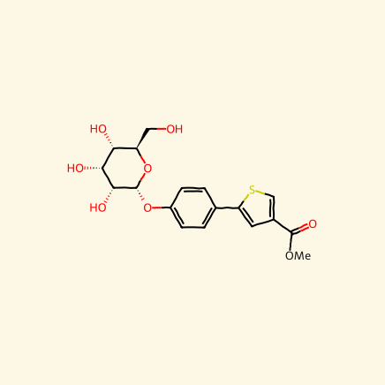 COC(=O)c1csc(-c2ccc(O[C@H]3O[C@H](CO)[C@@H](O)[C@@H](O)[C@H]3O)cc2)c1